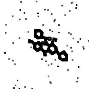 C=C(c1ccc(Br)cc1)c1cc(-c2ccccc2)cc(C(C)C)c1NC(=O)c1ccccc1